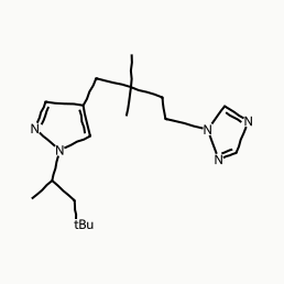 CC(CC(C)(C)C)n1cc(CC(C)(C)CCn2cncn2)cn1